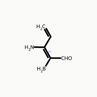 B/C(C=O)=C(\N)C=C